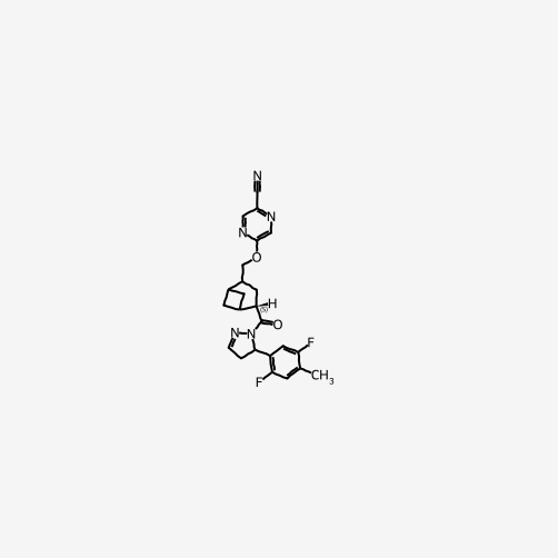 Cc1cc(F)c(C2CC=NN2C(=O)[C@H]2CC(COc3cnc(C#N)cn3)C3CC2C3)cc1F